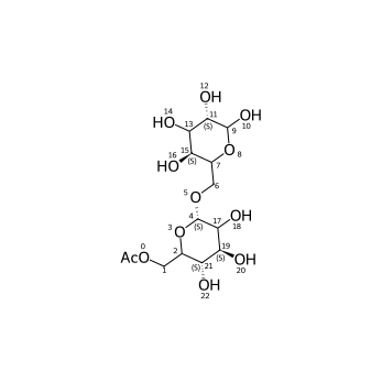 CC(=O)OCC1O[C@H](OCC2OC(O)[C@@H](O)C(O)[C@@H]2O)C(O)[C@@H](O)[C@@H]1O